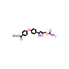 COC(=O)c1ccc(Oc2ccc(-c3cc(COC(N)=O)on3)cc2)cc1